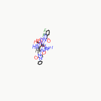 C=C1N[C@H]2[C@H](CN3C(=O)CN(c4ccccc4)C3=O)NC(=N)N3C[C@H](NC(=O)c4cccc(F)c4F)C(O)(O)[C@]23N1